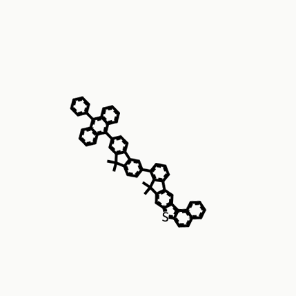 CC1(C)c2ccc(-c3cccc4c3C(C)(C)c3cc5sc6ccc7ccccc7c6c5cc3-4)cc2-c2ccc(-c3c4ccccc4c(-c4ccccc4)c4ccccc34)cc21